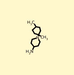 CC1CCC(C)(N2CCC(N)CC2)CC1